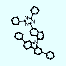 c1ccc(-c2ccc3c4ccc(-c5ccccc5)cc4n(-c4cccc5cc(-c6nc(-c7ccccc7)nc(-c7ccccc7)n6)ccc45)c3c2)cc1